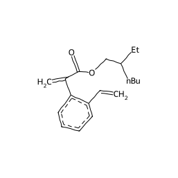 C=Cc1ccccc1C(=C)C(=O)OCC(CC)CCCC